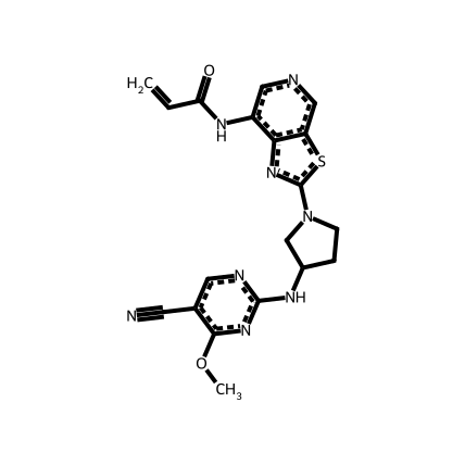 C=CC(=O)Nc1cncc2sc(N3CCC(Nc4ncc(C#N)c(OC)n4)C3)nc12